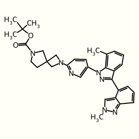 Cc1cccc2c(-c3cccc4nn(C)cc34)nn(-c3ccc(N4CC5(CCN(C(=O)OC(C)(C)C)C5)C4)nc3)c12